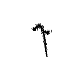 COCCOCCOCCOCCOCCOCCOCCOCCNC(=O)C(OC(=O)NC(C)(C(=O)O)C(F)F)c1ccc(NC(=O)[C@H](C)NC(=O)[C@H](C)NC(=O)CCN2C(=O)C=CC2=O)cc1